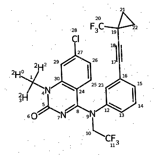 [2H]C([2H])([2H])n1c(=O)nc(N(CC(F)(F)F)c2cccc(C#CC3(C(F)(F)F)CC3)c2)c2ccc(Cl)cc21